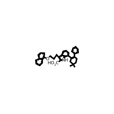 CC1(C)CCC(c2ccccc2)=C(c2cccc3c(CCCOc4cccc5ccccc45)c(C(=O)O)[nH]c23)C1